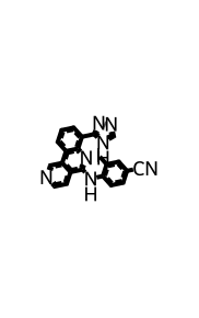 N#Cc1ccc(Nc2nc3c(-c4nnc[nH]4)cccc3c3cnccc23)c(I)c1